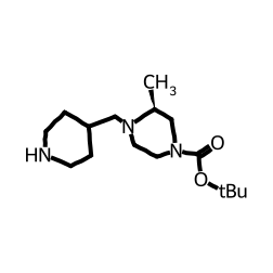 C[C@H]1CN(C(=O)OC(C)(C)C)CCN1CC1CCNCC1